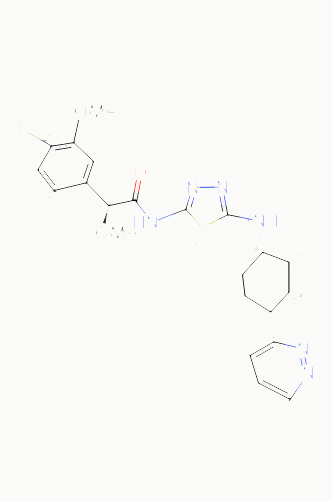 COc1cc([C@H](OC)C(=O)Nc2nnc(N[C@H]3CC[C@@H](c4cccnn4)CC3)s2)ccc1F